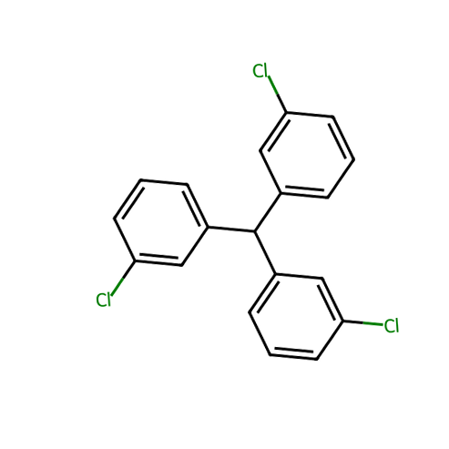 Clc1cccc(C(c2cccc(Cl)c2)c2cccc(Cl)c2)c1